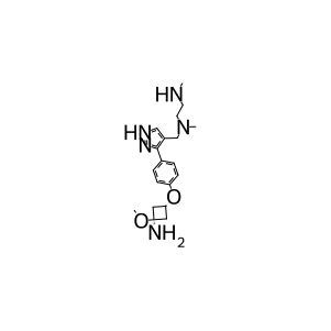 CNCCN(C)Cc1c[nH]nc1-c1ccc(O[C@H]2C[C@](N)(OC)C2)cc1